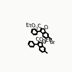 CCOC(=O)C1=C(c2ccccc2)c2ccc(C)cc2C1=O.CCOC(=O)C1=C(c2ccccc2)c2ccc(CBr)cc2C1=O